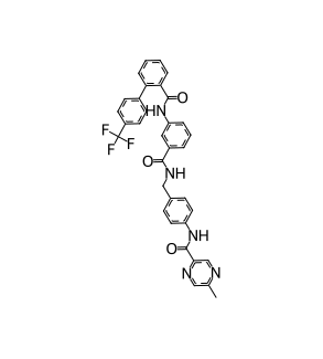 Cc1cnc(C(=O)Nc2ccc(CNC(=O)c3cccc(NC(=O)c4ccccc4-c4ccc(C(F)(F)F)cc4)c3)cc2)cn1